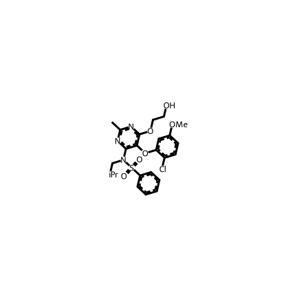 COc1ccc(Cl)c(Oc2c(OCCO)nc(C)nc2N(CC(C)C)S(=O)(=O)c2ccccc2)c1